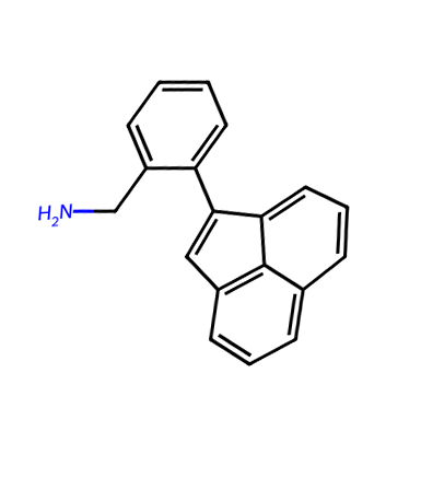 NCc1ccccc1C1=Cc2cccc3cccc1c23